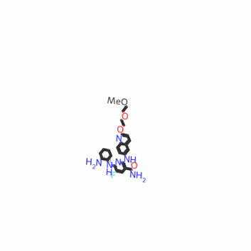 COCCOCCOc1ccc2cc(Nc3nc(N[C@@H]4CCCC[C@@H]4N)c(F)cc3C(N)=O)ccc2n1